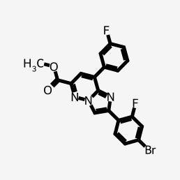 COC(=O)c1cc(-c2cccc(F)c2)c2nc(-c3ccc(Br)cc3F)cn2n1